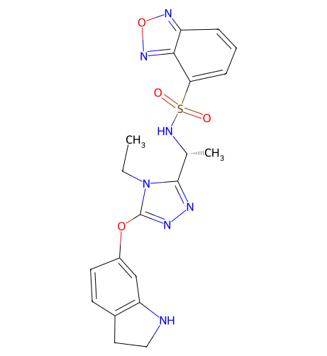 CCn1c(Oc2ccc3c(c2)NCC3)nnc1[C@@H](C)NS(=O)(=O)c1cccc2nonc12